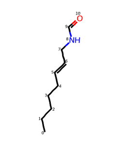 CCCCCC=CCNC=O